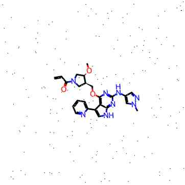 C=CC(=O)N1C[C@H](COc2nc(Nc3cnn(C)c3)nc3[nH]cc(-c4ccccn4)c23)[C@@H](OC)C1